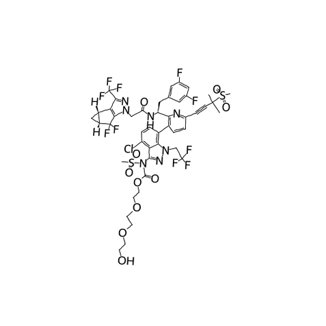 CC(C)(C#Cc1ccc(-c2ccc(Cl)c3c(N(C(=O)OCCOCCOCCO)S(C)(=O)=O)nn(CC(F)(F)F)c23)c([C@H](Cc2cc(F)cc(F)c2)NC(=O)Cn2nc(C(F)(F)F)c3c2C(F)(F)[C@@H]2C[C@H]32)n1)S(C)(=O)=O